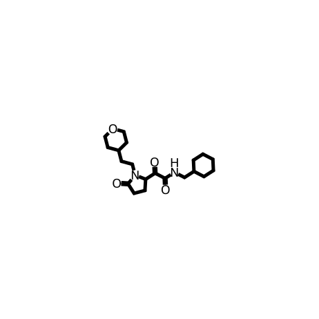 O=C(NCC1CCCCC1)C(=O)C1CCC(=O)N1CCC1CCOCC1